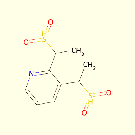 CC(c1cccnc1C(C)[SH](=O)=O)[SH](=O)=O